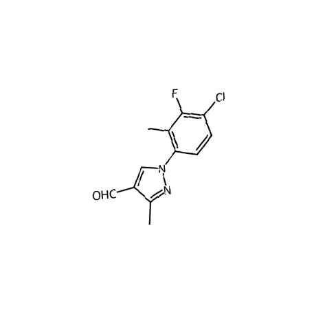 Cc1nn(-c2ccc(Cl)c(F)c2C)cc1C=O